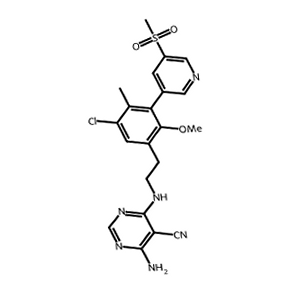 COc1c(CCNc2ncnc(N)c2C#N)cc(Cl)c(C)c1-c1cncc(S(C)(=O)=O)c1